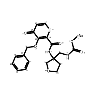 CC(C)(C)OC(=O)NCC1(NC(=O)c2occc(=O)c2OCc2ccccc2)CCOC1